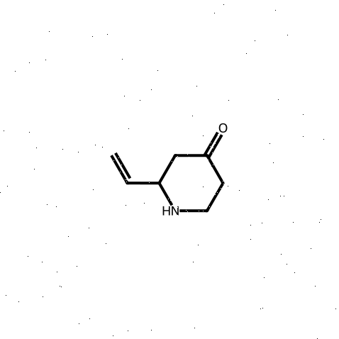 C=CC1CC(=O)CCN1